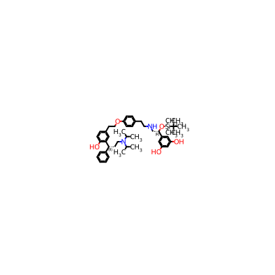 CC(C)N(CC[C@H](c1ccccc1)c1cc(CCOc2ccc(CCNC[C@H](O[Si](C)(C)C(C)(C)C)c3cc(O)cc(O)c3)cc2)ccc1O)C(C)C